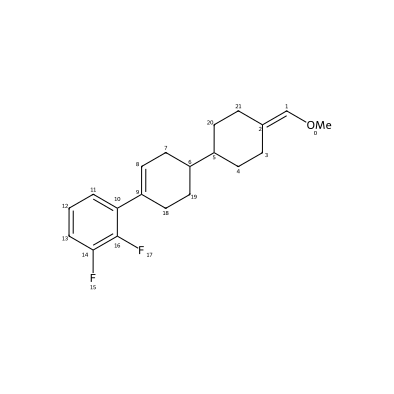 COC=C1CCC(C2CC=C(c3cccc(F)c3F)CC2)CC1